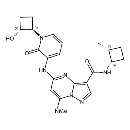 CNc1cc(Nc2cccn([C@@H]3CC[C@H]3O)c2=O)nc2c(C(=O)N[C@H]3CC[C@H]3C)cnn12